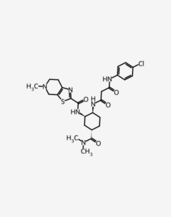 CN1CCc2nc(C(=O)N[C@@H]3C[C@@H](C(=O)N(C)C)CC[C@@H]3NC(=O)CC(=O)Nc3ccc(Cl)cc3)sc2C1